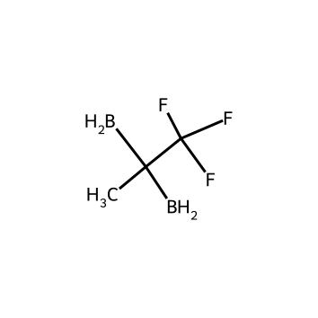 BC(B)(C)C(F)(F)F